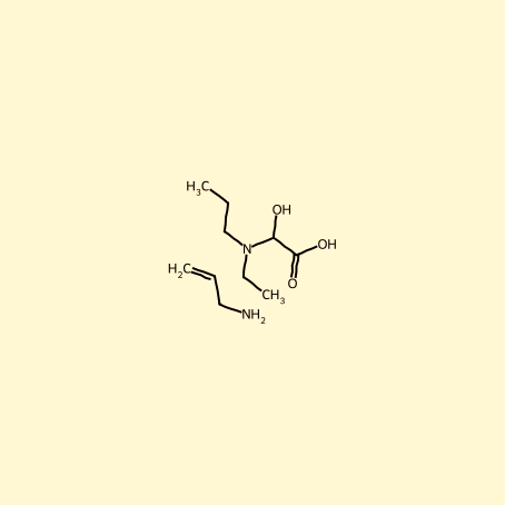 C=CCN.CCCN(CC)C(O)C(=O)O